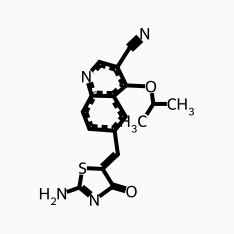 CC(C)Oc1c(C#N)cnc2ccc(/C=C3\SC(N)=NC3=O)cc12